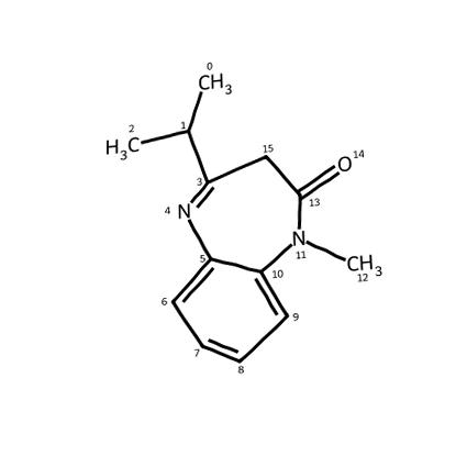 CC(C)C1=Nc2ccccc2N(C)C(=O)C1